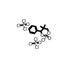 CC1(C)CO[P@](=O)(Cl)OC1c1ccccc1.O=P(Cl)(Cl)Cl.O=P(Cl)(Cl)Cl